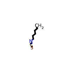 C=CCCCCN=C=S